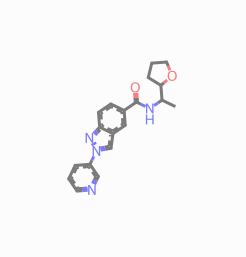 CC(NC(=O)c1ccc2nn(-c3cccnc3)cc2c1)C1CCCO1